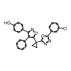 Oc1ccc(-c2noc(C3(c4nnc(-c5cccc(Cl)c5)o4)CC3)c2-c2ccccc2)cc1